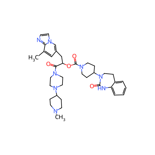 Cc1cc(CC(OC(=O)N2CCC(N3CCc4ccccc4NC3=O)CC2)C(=O)N2CCN(C3CCN(C)CC3)CC2)cn2ccnc12